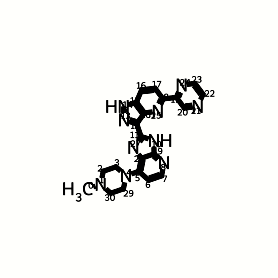 CN1CCN(c2ccnc3[nH]c(-c4n[nH]c5ccc(-c6cnccn6)nc45)nc23)CC1